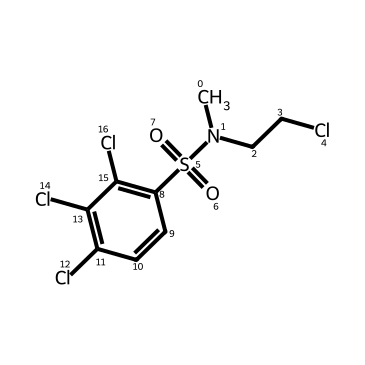 CN(CCCl)S(=O)(=O)c1ccc(Cl)c(Cl)c1Cl